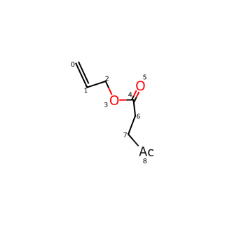 C=CCOC(=O)CCC(C)=O